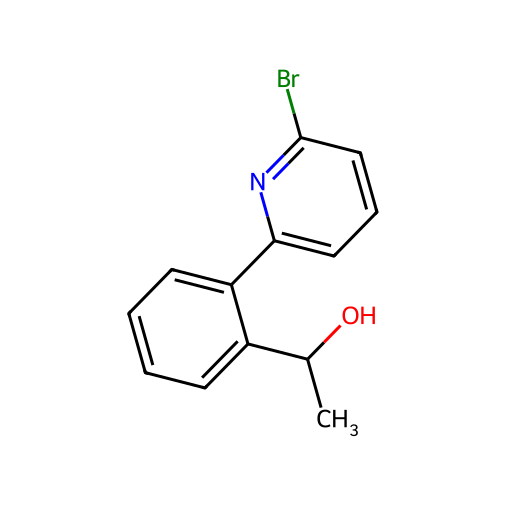 CC(O)c1ccccc1-c1cccc(Br)n1